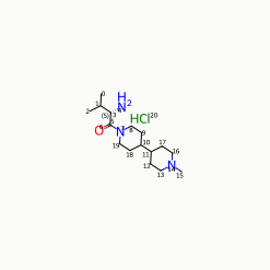 CC(C)[C@H](N)C(=O)N1CCC(C2CCN(C)CC2)CC1.Cl